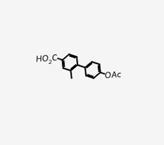 CC(=O)Oc1ccc(-c2ccc(C(=O)O)cc2C)cc1